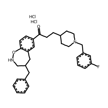 Cl.Cl.O=C(CCC1CCN(Cc2cccc(F)c2)CC1)c1ccc2c(c1)CC(Cc1ccccc1)CNO2